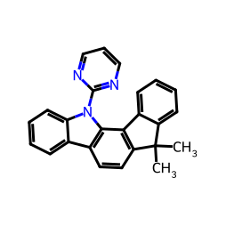 CC1(C)c2ccccc2-c2c1ccc1c3ccccc3n(-c3ncccn3)c21